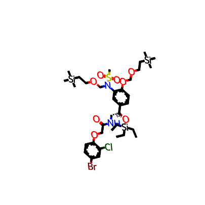 CC[Si](CC)(CC)O[C@H](CNC(=O)COc1ccc(Br)cc1Cl)c1ccc(OCOCC[Si](C)(C)C)c(N(COCC[Si](C)(C)C)S(C)(=O)=O)c1